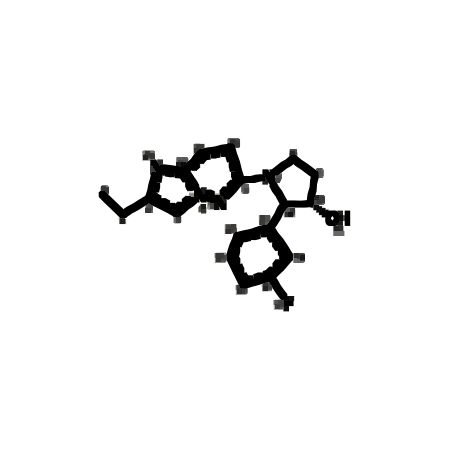 CCc1cn2nc(N3CC[C@H](O)C3c3cccc(F)c3)ccc2n1